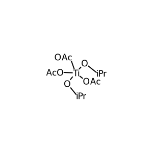 CC(=O)[O][Ti]([O]C(C)=O)([O]C(C)=O)([O]C(C)C)[O]C(C)C